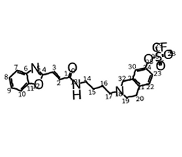 O=C(C=Cc1nc2ccccc2o1)NCCCCN1CCc2ccc(OS(=O)(=O)C(F)(F)F)cc2C1